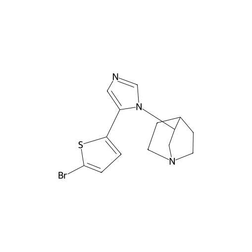 Brc1ccc(-c2cncn2C2CN3CCC2CC3)s1